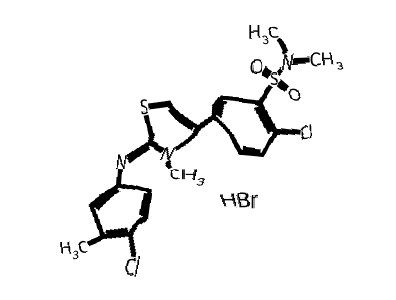 Br.Cc1cc(N=c2scc(-c3ccc(Cl)c(S(=O)(=O)N(C)C)c3)n2C)ccc1Cl